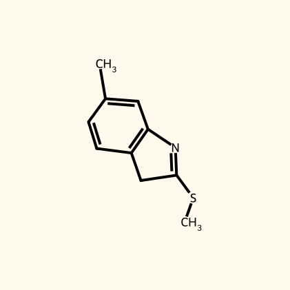 CSC1=Nc2cc(C)ccc2C1